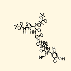 CC(C)(C)OC(=O)Nc1nc(/C(=N/OC(C)(C)C(=O)OC(C)(C)C)C(=O)N[C@H]2CN(C(=O)NS(=O)(=O)n3nc(-c4cc(=O)c(O)c[nH]4)n(CC#N)c3=O)C2=O)cs1